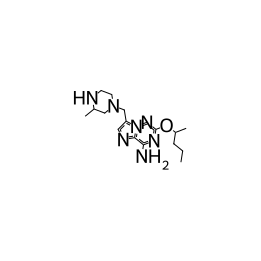 CCCC(C)Oc1nc(N)c2ncc(CN3CCNC(C)C3)n2n1